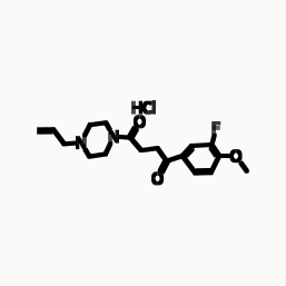 C=CCN1CCN(C(=O)CCC(=O)c2ccc(OC)c(F)c2)CC1.Cl